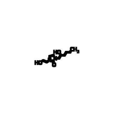 CCCCC(O)CN1CCN(CCO)C1=O